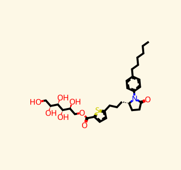 CCCCCCc1ccc(N2C(=O)CC[C@@H]2CCCc2ccc(C(=O)OC[C@H](O)[C@H](O)[C@@H](O)[C@H](O)CO)s2)cc1